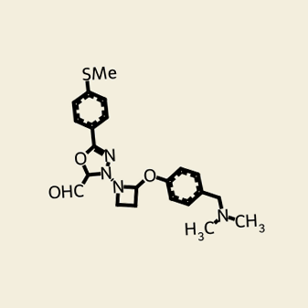 CSc1ccc(C2=NN(N3CCC3Oc3ccc(CN(C)C)cc3)C(C=O)O2)cc1